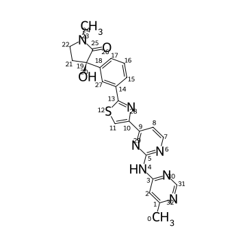 Cc1cc(Nc2nccc(-c3csc(-c4cccc([C@]5(O)CCN(C)C5=O)c4)n3)n2)ncn1